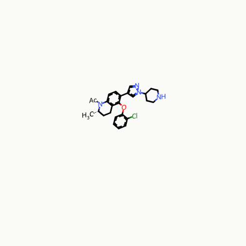 CC(=O)N1c2ccc(-c3cnn(C4CCNCC4)c3)c(Oc3ccccc3Cl)c2CC[C@@H]1C